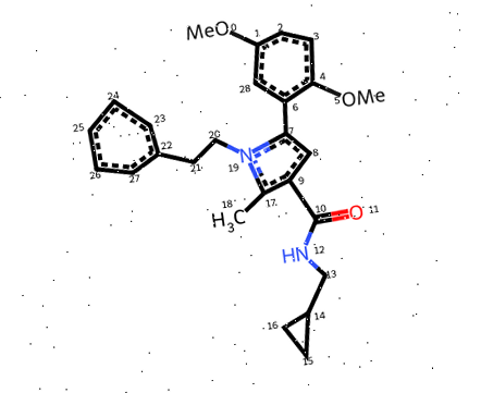 COc1ccc(OC)c(-c2cc(C(=O)NCC3CC3)c(C)n2CCc2ccccc2)c1